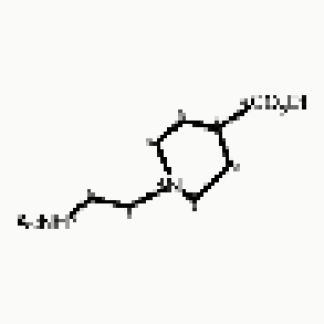 CCOC(=O)C1CCN(CCNC(C)=O)CC1